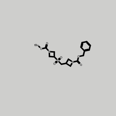 CC(C)(C)OC(=O)N1CC(S(=O)(=O)CC2CN(C(=O)OCc3ccccc3)C2)C1